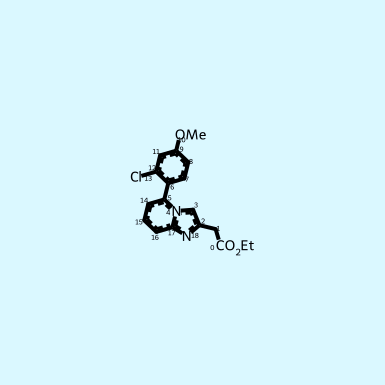 CCOC(=O)Cc1cn2c(-c3ccc(OC)cc3Cl)cccc2n1